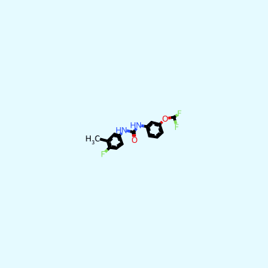 Cc1cc(NC(=O)Nc2cccc(OC(F)F)c2)ccc1F